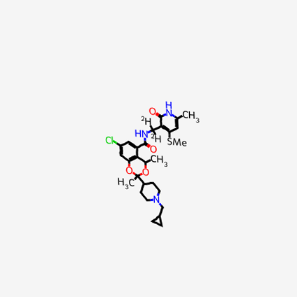 [2H]C([2H])(NC(=O)c1cc(Cl)cc2c1C(C)OC(C)(C1CCN(CC3CC3)CC1)O2)c1c(SC)cc(C)[nH]c1=O